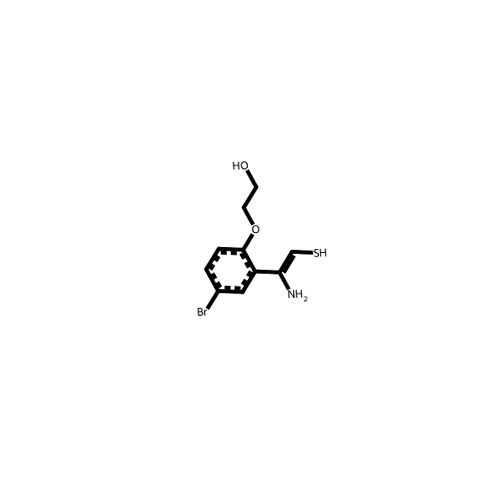 N/C(=C\S)c1cc(Br)ccc1OCCO